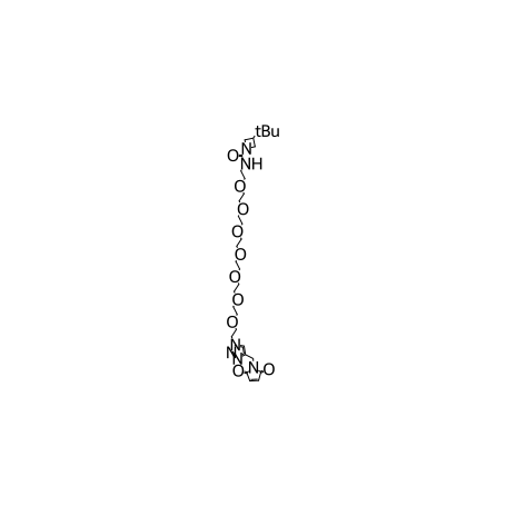 CC(C)(C)C1CN(C(=O)NCCOCCOCCOCCOCCOCCOCCOCCn2cc(CN3C(=O)C=CC3=O)nn2)C1